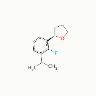 CC(C)c1cccc([C@H]2CCCO2)c1F